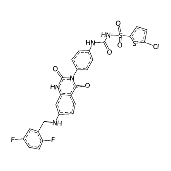 O=C(Nc1ccc(-n2c(=O)[nH]c3cc(NCc4cc(F)ccc4F)ccc3c2=O)cc1)NS(=O)(=O)c1ccc(Cl)s1